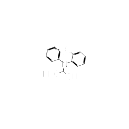 Cc1ccccc1N(c1ccccc1)C(C)C